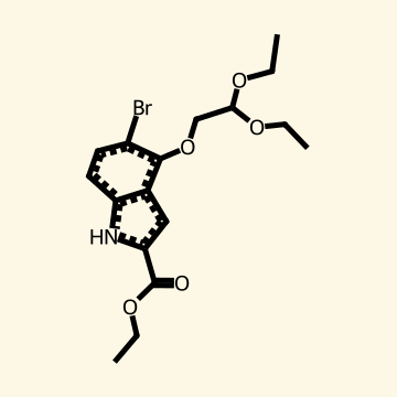 CCOC(=O)c1cc2c(OCC(OCC)OCC)c(Br)ccc2[nH]1